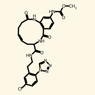 COC(=O)Nc1ccc2c(c1)NC(=O)CCC=CCC(C(=O)NCCc1cc(Cl)ccc1-n1cnnn1)NC2=O